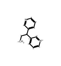 CCC(c1cccnc1)c1cccnc1